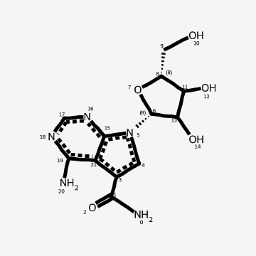 NC(=O)c1cn([C@@H]2O[C@H](CO)C(O)C2O)c2ncnc(N)c12